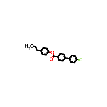 CCCc1ccc(OC(=O)c2ccc(-c3ccc(F)cc3)cc2)cc1